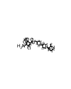 Cc1nccnc1N1CCC(N2CCC(COC(=O)c3cc(Cl)c(N)c4c3OCCO4)CC2)CC1